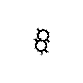 C=c1ccccc(=C)c2ccc(=C)c(F)cccc(=C)c2cc1